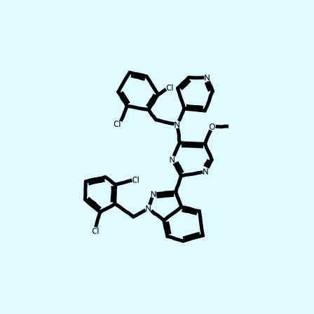 COc1cnc(-c2nn(Cc3c(Cl)cccc3Cl)c3ccccc23)nc1N(Cc1c(Cl)cccc1Cl)c1ccncc1